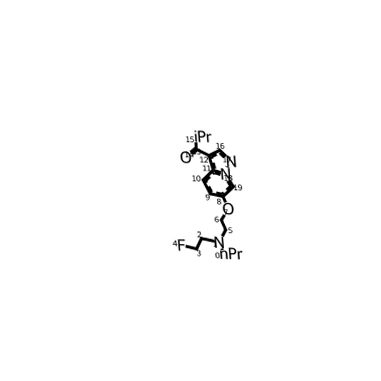 CCCN(CCF)CCOc1ccc2c(C(=O)C(C)C)cnn2c1